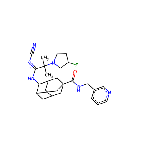 CC(C)(/C(=N\C#N)NC1C2CC3CC1CC(C(=O)NCc1cccnc1)(C3)C2)N1CCC(F)C1